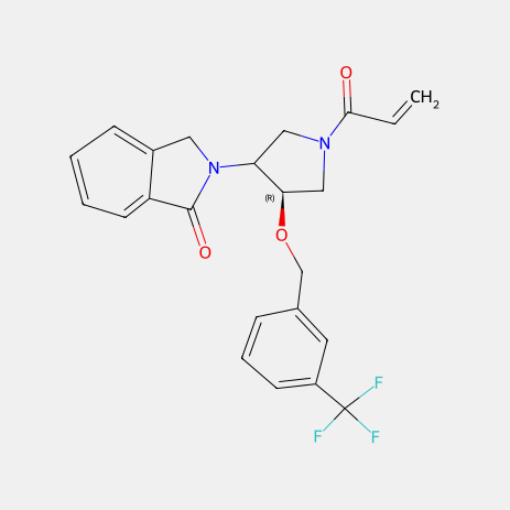 C=CC(=O)N1CC(N2Cc3ccccc3C2=O)[C@H](OCc2cccc(C(F)(F)F)c2)C1